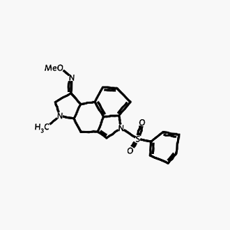 CON=C1CN(C)C2Cc3cn(S(=O)(=O)c4ccccc4)c4cccc(c34)C12